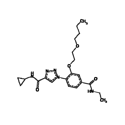 CCCCOCCOc1cc(C(=O)NCC)ccc1-n1cc(C(=O)NC2CC2)nn1